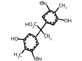 Cc1c(O)cc(C(C)(C(=O)O)c2cc(O)c(C)c(C(C)(C)C)c2)cc1C(C)(C)C